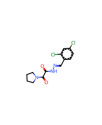 O=C(NN=Cc1ccc(Cl)cc1Cl)C(=O)N1CCCC1